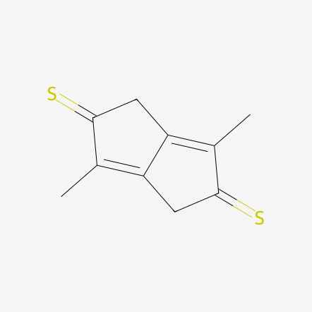 CC1=C2CC(=S)C(C)=C2CC1=S